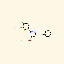 COC(=O)c1nc(-c2ccc(Cl)c(OC)c2F)nc(NCc2ccccc2)c1Cl